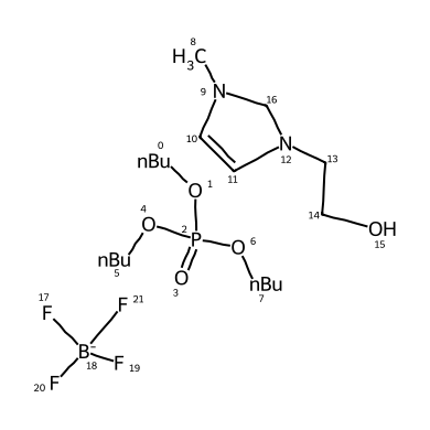 CCCCOP(=O)(OCCCC)OCCCC.CN1C=CN(CCO)C1.F[B-](F)(F)F